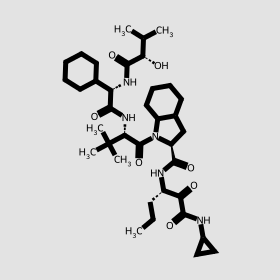 CCC[C@H](NC(=O)[C@@H]1CC2CCCCC2N1C(=O)[C@@H](NC(=O)[C@@H](NC(=O)[C@@H](O)C(C)C)C1CCCCC1)C(C)(C)C)C(=O)C(=O)NC1CC1